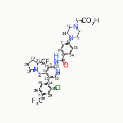 O=C(O)CN1CCN(c2ccc(C(=O)Nc3cc(CN4CCC[C@H]4C(F)(F)F)c(-c4ccc(C(F)(F)F)cc4Cl)cn3)cc2)CC1